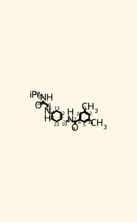 Cc1cc(C)cc(C(=O)NC[C@H]2CC[C@@H](NCC(=O)NC(C)C)CC2)c1